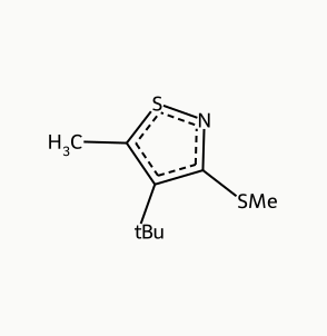 CSc1nsc(C)c1C(C)(C)C